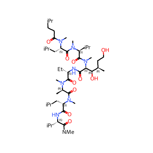 CC[C@H](NC(=O)[C@H]([C@H](O)[C@H](C)CCO)N(C)C(=O)[C@H](C(C)C)N(C)C(=O)[C@H](CC(C)C)N(C)C(=O)CCC(C)C)C(=O)N(C)[C@H](C)C(=O)N(C)[C@@H](CC(C)C)C(=O)N[C@H](C(=O)NC)C(C)C